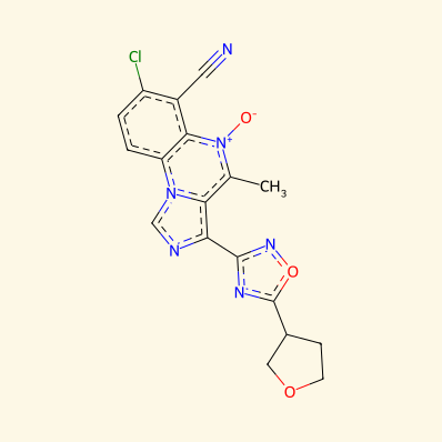 Cc1c2c(-c3noc(C4CCOC4)n3)ncn2c2ccc(Cl)c(C#N)c2[n+]1[O-]